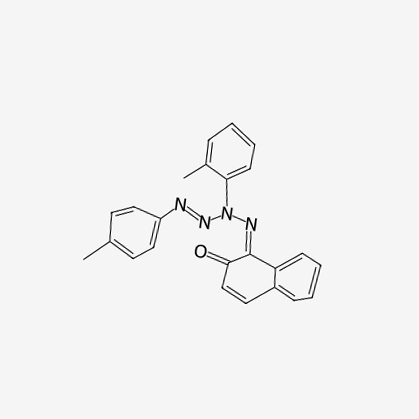 Cc1ccc(N=NN(N=C2C(=O)C=Cc3ccccc32)c2ccccc2C)cc1